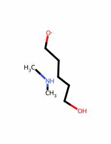 CNC.[O]CCCCCO